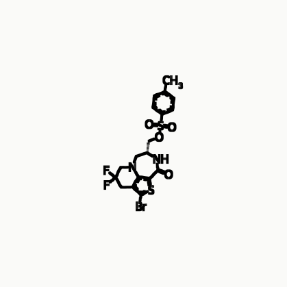 Cc1ccc(S(=O)(=O)OC[C@H]2CN3CC(F)(F)Cc4c(Br)sc(c43)C(=O)N2)cc1